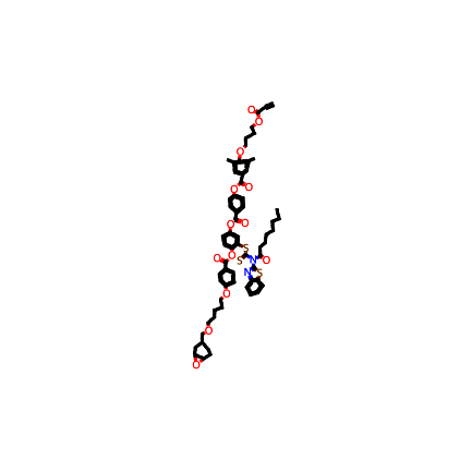 C#CC(=O)OCCCCOc1c(C)cc(C(=O)Oc2ccc(C(=O)Oc3ccc(OC(=O)c4ccc(OCCCCCOCC5CCC6OC6C5)cc4)c(SC(=S)N(C(=O)CCCCCCC)c4nc5ccccc5s4)c3)cc2)cc1C